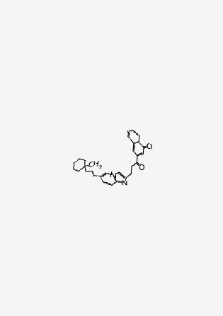 CC1(CCCc2ccc3nc(CCC(=O)C4=CC(=O)C5C=CC=CC5=C4)cn3c2)CCCCC1